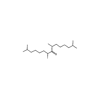 CC(C)CCCCC(C)C(=O)C(C)CCCCC(C)C